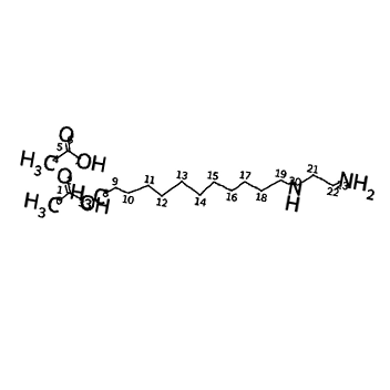 CC(=O)O.CC(=O)O.CCCCCCCCCCCCNCCN